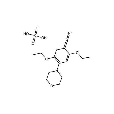 CCOC1=CC(N2CCOCC2)=C(OCC)CC1=[N+]=[N-].O=S(=O)(O)O